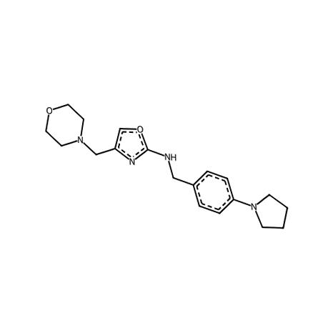 c1cc(N2CCCC2)ccc1CNc1nc(CN2CCOCC2)co1